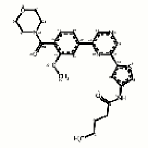 CCCCC(=O)Nc1csc(-c2cncc(-c3ccc(C(=O)N4CCOCC4)c(OC)c3)n2)c1